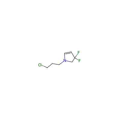 FC1(F)C=CN(CCCCl)C1